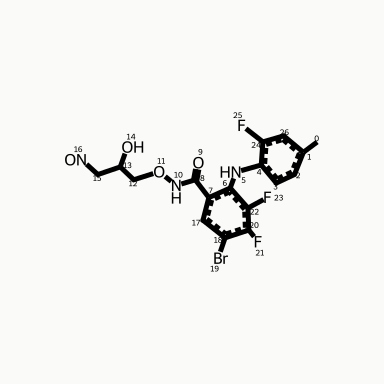 Cc1ccc(Nc2c(C(=O)NOCC(O)CN=O)cc(Br)c(F)c2F)c(F)c1